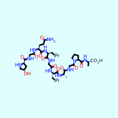 CC(C)C[C@H](NC(=O)CNC(=O)[C@H](CC(C)C)NC(=O)[C@H](CCC(N)=O)NC(=O)CNC(=O)[C@H]1C[C@H](O)CN1)C(=O)N[C@@H](C)C(=O)NCC(=O)N1CCCC1C(=O)N[C@@H](C)C(=O)O